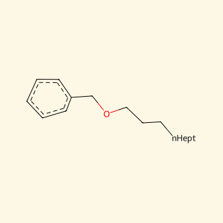 [CH2]CCCCCCCCCOCc1ccccc1